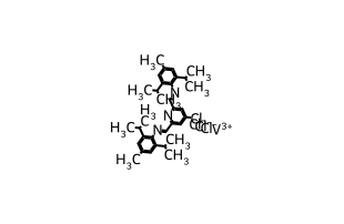 Cc1cc(C(C)C)c(N=Cc2cc(Cl)cc(C=Nc3c(C(C)C)cc(C)cc3C(C)C)n2)c(C(C)C)c1.[Cl-].[Cl-].[Cl-].[V+3]